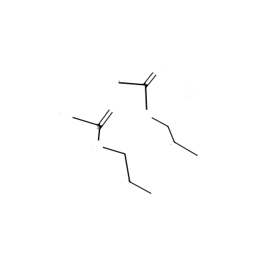 CCCOC(=S)[S-].CCCOC(=S)[S-].[Ca+2]